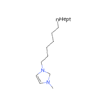 CCCCCCCCCCCCCN1C=CN(C)C1